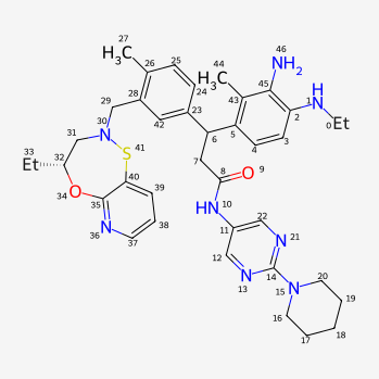 CCNc1ccc(C(CC(=O)Nc2cnc(N3CCCCC3)nc2)c2ccc(C)c(CN3C[C@@H](CC)Oc4ncccc4S3)c2)c(C)c1N